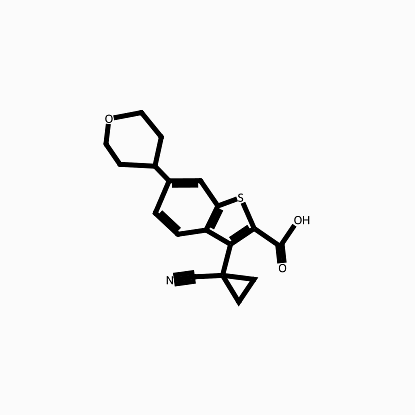 N#CC1(c2c(C(=O)O)sc3cc(C4CCOCC4)ccc23)CC1